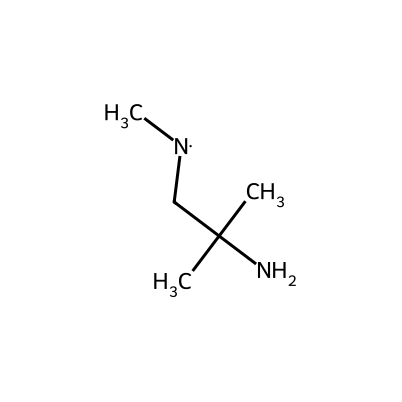 C[N]CC(C)(C)N